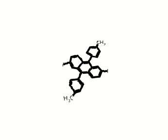 Cc1ccc(-c2c3ccc(I)cc3c(-c3ccc(C)cc3)c3ccc(I)cc23)cc1